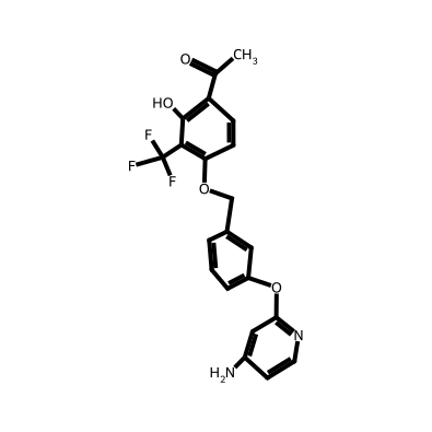 CC(=O)c1ccc(OCc2cccc(Oc3cc(N)ccn3)c2)c(C(F)(F)F)c1O